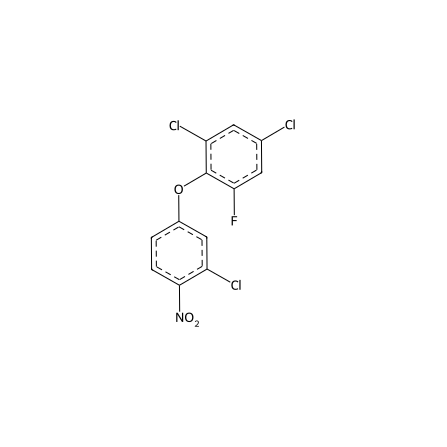 O=[N+]([O-])c1ccc(Oc2c(F)cc(Cl)cc2Cl)cc1Cl